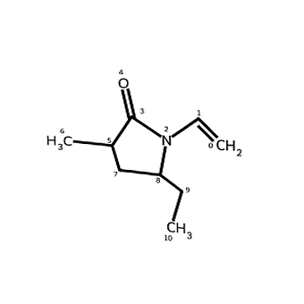 C=CN1C(=O)C(C)CC1CC